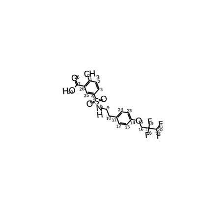 Cc1ccc(S(=O)(=O)NCCc2ccc(OCC(F)(F)C(F)F)cc2)cc1C(=O)O